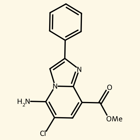 COC(=O)c1cc(Cl)c(N)n2cc(-c3ccccc3)nc12